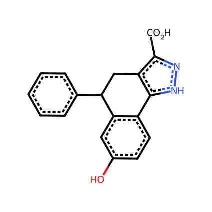 O=C(O)c1n[nH]c2c1CC(c1ccccc1)c1cc(O)ccc1-2